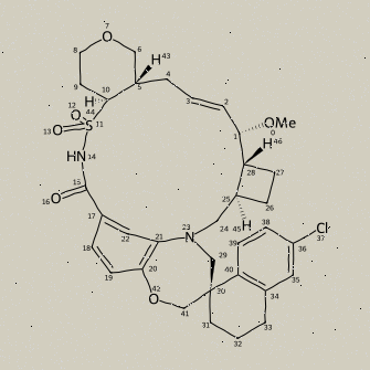 CO[C@H]1/C=C/C[C@H]2COCC[C@@H]2S(=O)(=O)NC(=O)c2ccc3c(c2)N(C[C@@H]2CC[C@H]21)C[C@@]1(CCCc2cc(Cl)ccc21)CO3